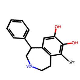 CCCc1c(O)c(O)cc2c1CCNCC2c1ccccc1